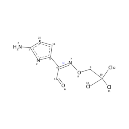 Nc1nc(/C([C]=O)=N/OCC(Cl)(Cl)Cl)cs1